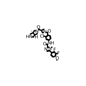 COc1ccc(-c2cnc(C(=O)Nc3ccc(C(=O)N4CC(C(=O)N5C[C@H]6CNC[C@@]6(C)C5)C4)c(Cl)c3)n2C)c(F)c1F